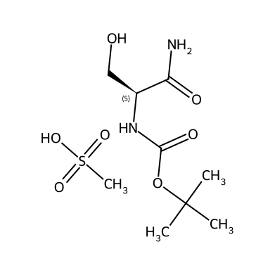 CC(C)(C)OC(=O)N[C@@H](CO)C(N)=O.CS(=O)(=O)O